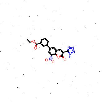 CCOC(=O)c1cccc(-c2cc([N+](=O)[O-])c3oc(=O)c(-c4nnn[nH]4)cc3c2)c1